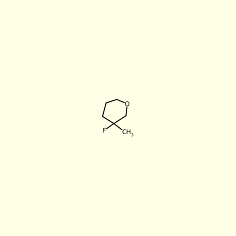 CC1(F)CCCOC1